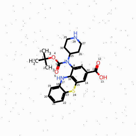 CC(C)(C)OC(=O)N(c1cc(C(=O)O)cc2c1Nc1ccccc1S2)C1CCNCC1